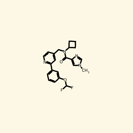 Cn1cnc(C(=O)N(Cc2ccnc(-c3cccc(OC(F)F)c3)c2)C2CCC2)c1